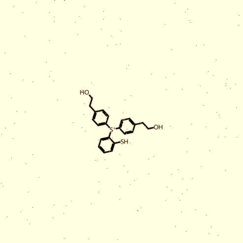 OCCc1ccc([S+](c2ccc(CCO)cc2)c2ccccc2S)cc1